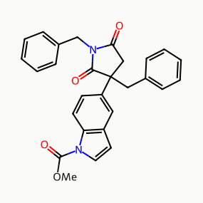 COC(=O)n1ccc2cc(C3(Cc4ccccc4)CC(=O)N(Cc4ccccc4)C3=O)ccc21